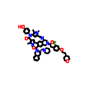 Cc1c(N(C(=O)c2cc(-c3cc4c(cc3C(=O)N3Cc5ccccc5C[C@H]3CN3CCCCC3)CN(C(=O)Cc3ccc(OCCC5CCOCC5)cc3F)CC4)n(C)c2C)c2ccc(O)cc2)cc(C#N)n1C